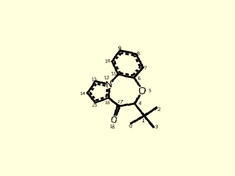 CC(C)(C)C1Oc2ccccc2-n2cccc2C1=O